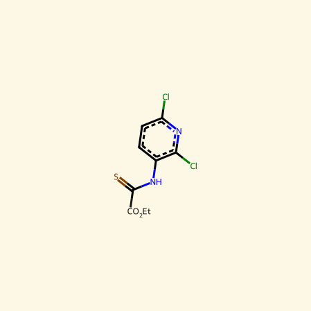 CCOC(=O)C(=S)Nc1ccc(Cl)nc1Cl